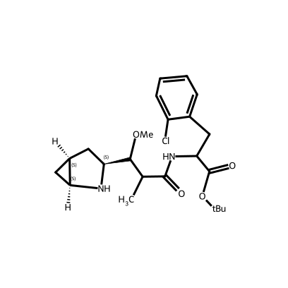 COC(C(C)C(=O)NC(Cc1ccccc1Cl)C(=O)OC(C)(C)C)[C@@H]1C[C@@H]2C[C@@H]2N1